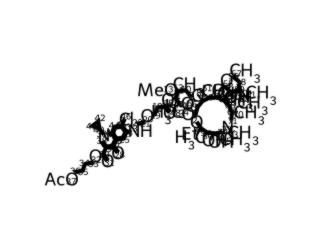 CC[C@H]1OC(=O)[C@H](C)[C@@H](O[C@H]2C[C@@](C)(OC)[C@@H](OC(=O)CCOCCNc3cc4c(=O)c(C(=O)OCCCCOC(C)=O)cn(C5CC5)c4cc3Cl)[C@H](C)O2)[C@H](C)[C@@H](O[C@@H]2O[C@H](C)C[C@H](N(C)C)[C@H]2O)[C@](C)(O)C[C@@H](C)CN(C)[C@H](C)[C@@H](O)[C@]1(C)O